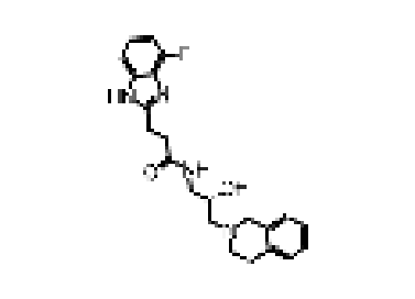 O=C(CCc1nc2c(F)cccc2[nH]1)NC[C@H](O)CN1CCc2ccccc2C1